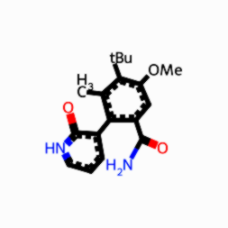 COc1cc(C(N)=O)c(-c2ccc[nH]c2=O)c(C)c1C(C)(C)C